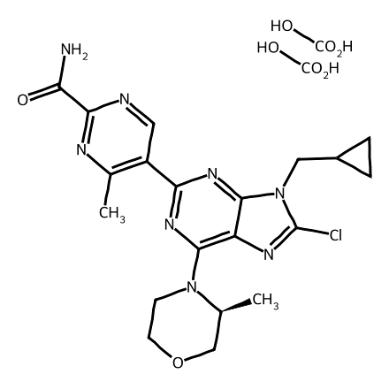 Cc1nc(C(N)=O)ncc1-c1nc(N2CCOC[C@@H]2C)c2nc(Cl)n(CC3CC3)c2n1.O=C(O)O.O=C(O)O